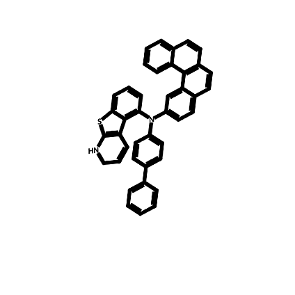 C1=Cc2c(sc3cccc(N(c4ccc(-c5ccccc5)cc4)c4ccc5ccc6ccc7ccccc7c6c5c4)c23)NC1